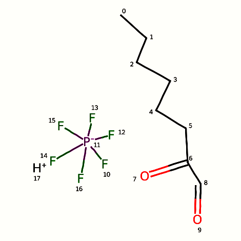 CCCCCCC(=O)C=O.F[P-](F)(F)(F)(F)F.[H+]